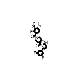 COc1cccc(C(=O)N2CCC3(CC2)O[C@@H]2CC[C@@H](c4cc(F)cc(F)c4)N2C3=O)c1F